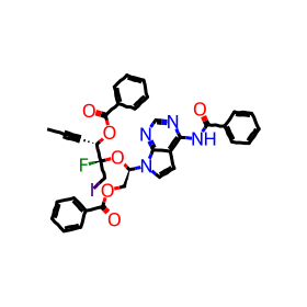 CC#C[C@H](OC(=O)c1ccccc1)[C@@](F)(CI)O[C@H](COC(=O)c1ccccc1)n1ccc2c(NC(=O)c3ccccc3)ncnc21